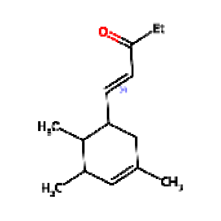 CCC(=O)/C=C/C1CC(C)=CC(C)C1C